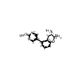 COc1ncc(-c2cccc3c2C[C@H](N)C(N)O3)cn1